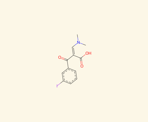 CN(C)C=C(C(=O)O)C(=O)c1cccc(I)c1